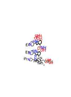 CC(C)N1CCC(c2cc3c([N+](=O)[O-])cccc3[nH]2)CC1.CCN1CCC(c2cc3c(C#N)cccc3[nH]2)CC1.CCN1CCC(c2cc3c(C(=O)NO)cccc3[nH]2)CC1.O=C(O)/C=C\C(=O)O.O=C(O)C(=O)O.O=P(O)(O)O